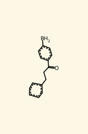 Bc1ccc(C(=O)CCc2ccccc2)cc1